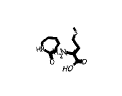 CSCCC(N)C(=O)O.O=C1CCCCCN1